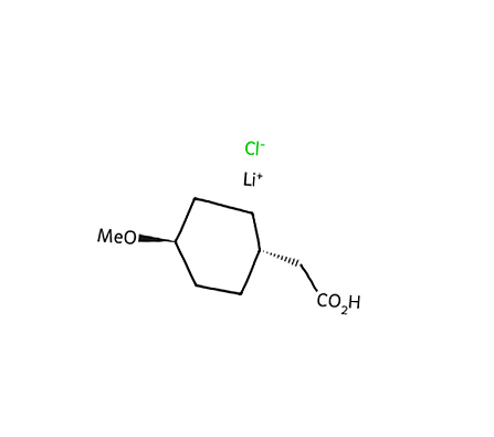 CO[C@H]1CC[C@H](CC(=O)O)CC1.[Cl-].[Li+]